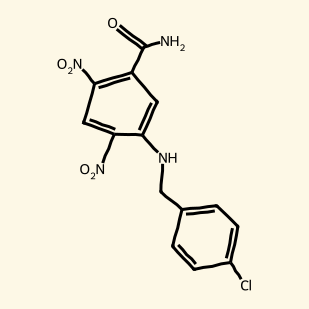 NC(=O)c1cc(NCc2ccc(Cl)cc2)c([N+](=O)[O-])cc1[N+](=O)[O-]